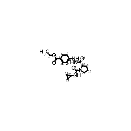 CCOC(=O)c1ccc(NNC(=O)[C@@H]2CCCN2C(=O)NC2CC2)cc1